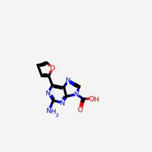 Nc1nc(-c2ccco2)c2ncn(C(=O)O)c2n1